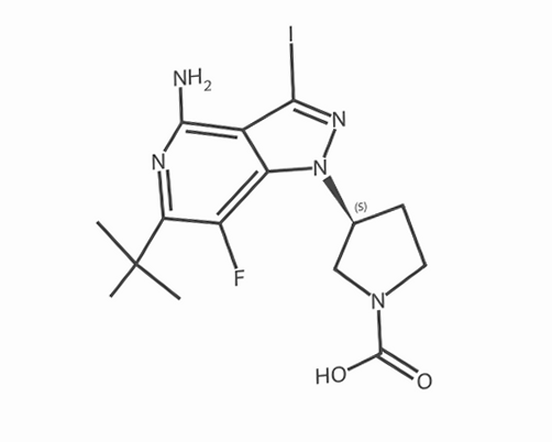 CC(C)(C)c1nc(N)c2c(I)nn([C@H]3CCN(C(=O)O)C3)c2c1F